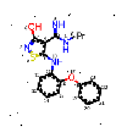 CC(C)NC(=N)c1c(O)nsc1Nc1ccccc1Oc1ccccc1